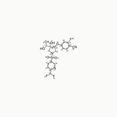 CC(O)[C@]1(O)CN(S(=O)(=O)c2ccc(C(F)F)nc2)C[C@@H]1Oc1ccc(C#N)c(F)c1